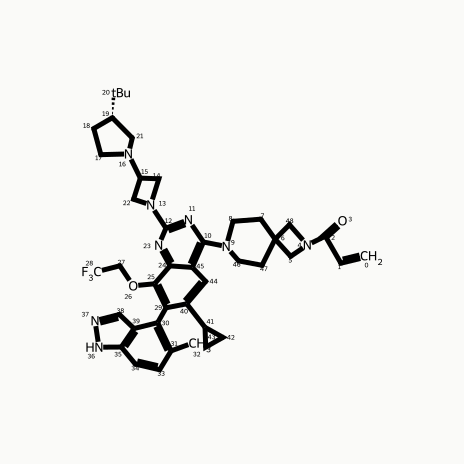 C=CC(=O)N1CC2(CCN(c3nc(N4CC(N5CC[C@H](C(C)(C)C)C5)C4)nc4c(OCC(F)(F)F)c(-c5c(C)ccc6[nH]ncc56)c(C5CC5)cc34)CC2)C1